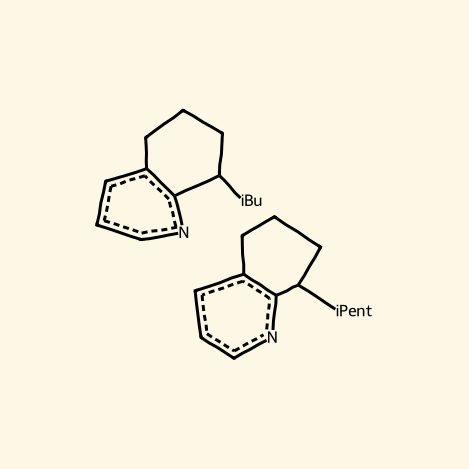 CCC(C)C1CCCc2cccnc21.CCCC(C)C1CCCc2cccnc21